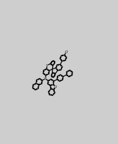 Clc1ccc(-c2ccc3c(c2)C2(c4ccccc4Sc4ccc(N(c5ccc6ccccc6c5)c5cc(-c6ccc(-c7ccccc7)cc6)c6oc7ccccc7c6c5)cc42)c2ccccc2-3)cc1